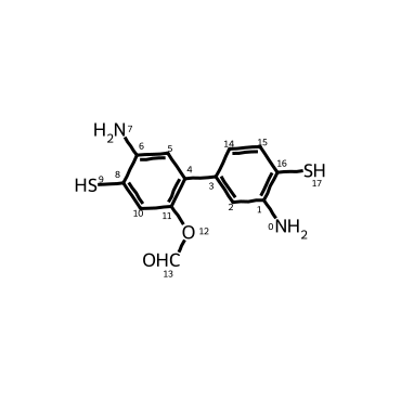 Nc1cc(-c2cc(N)c(S)cc2OC=O)ccc1S